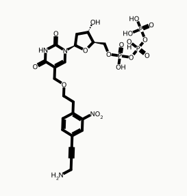 NCC#Cc1ccc(CCOCc2cn([C@H]3C[C@H](O)[C@@H](COP(=O)(O)OP(=O)(O)OP(=O)(O)O)O3)c(=O)[nH]c2=O)c([N+](=O)[O-])c1